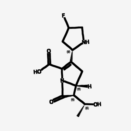 C[C@@H](O)[C@H]1C(=O)N2C(C(=O)O)=C([C@@H]3CC(F)CN3)C[C@H]12